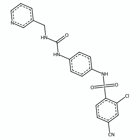 N#Cc1ccc(S(=O)(=O)Nc2ccc(NC(=O)NCc3cccnc3)cc2)c(Cl)c1